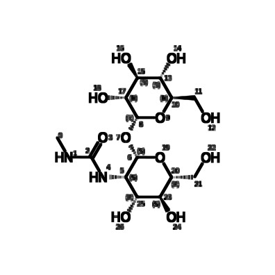 CNC(=O)N[C@@H]1[C@H](O[C@H]2O[C@H](CO)[C@@H](O)[C@H](O)[C@H]2O)O[C@H](CO)[C@@H](O)[C@@H]1O